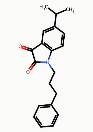 CC(C)c1ccc2c(c1)C(=O)C(=O)N2CCCc1ccccc1